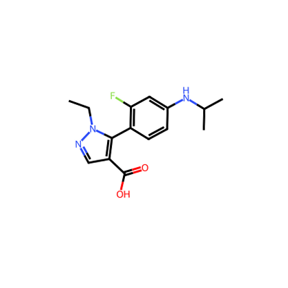 CCn1ncc(C(=O)O)c1-c1ccc(NC(C)C)cc1F